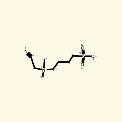 C[N+](C)(CC#N)CCCCS(=O)(=O)O